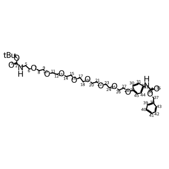 CC(C)(C)OC(=O)NCCOCCOCCOCCOCCOCCOCCOCCOc1ccc(NC(=O)OCc2ccccc2)cc1